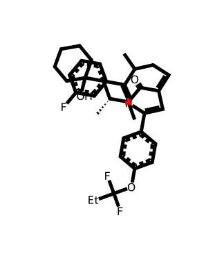 CCC(F)(F)Oc1ccc(C2=C/C(C(=O)C(C)[C@H](C)CC3(O)CCCCC3)=C/CC(C)/C(c3cccc(F)c3)=N\2)cc1